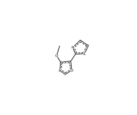 COc1n[c]oc1-c1nccs1